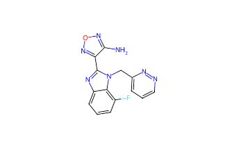 Nc1nonc1-c1nc2cccc(F)c2n1Cc1cccnn1